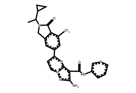 CC(C1CC1)N1Cc2cc(-c3ccn4nc(N)c(C(=O)Nc5cccnc5)c4n3)cc(C(F)(F)F)c2C1=O